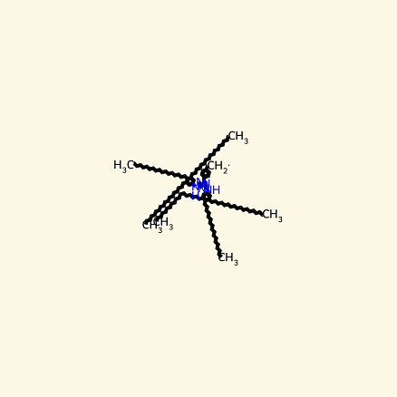 [CH2]Cc1ccc(-c2nc(Nc3cc(CCCCCCCCCCCCCCCCCC)c(CCCCCCCCCCCCCCCCCC)c(CCCCCCCCCCCCCCCCCC)c3)nc(Nc3cc(CCCCCCCCCCCCCCCCCC)c(CCCCCCCCCCCCCCCCCC)c(CCCCCCCCCCCCCCCCCC)c3)n2)cc1